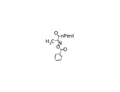 CCCCCC(=O)/C(C)=N/OC(=O)c1ccccc1